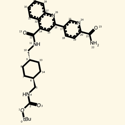 CC(C)(C)OC(=O)NC[C@H]1CC[C@H](CNC(=O)c2cc(-c3ccc(C(N)=O)nc3)nc3ccccc23)CC1